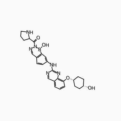 O=C(C1CCCN1)N1N=Cc2ccc(Nc3ncc4cccc(O[C@H]5CC[C@@H](O)CC5)c4n3)cc2B1O